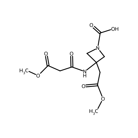 COC(=O)CC(=O)NC1(CC(=O)OC)CN(C(=O)O)C1